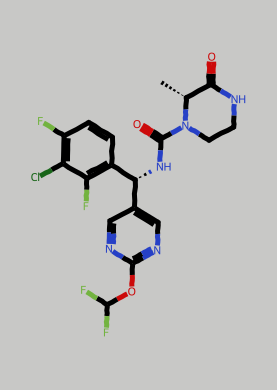 C[C@@H]1C(=O)NCCN1C(=O)N[C@H](c1cnc(OC(F)F)nc1)c1ccc(F)c(Cl)c1F